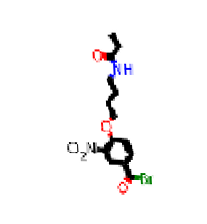 C=CC(=O)NCCCCOc1ccc(C(=O)Br)cc1[N+](=O)[O-]